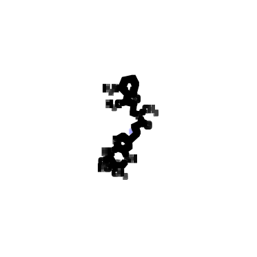 Cc1c(CN(C)C(=O)/C=C/c2cnc3c(c2)NC[C@@](C)(O)C(=O)N3)oc2cccc(N)c12